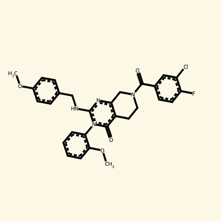 COc1ccc(CNc2nc3c(c(=O)n2-c2ccccc2OC)CCN(C(=O)c2ccc(F)c(Cl)c2)C3)cc1